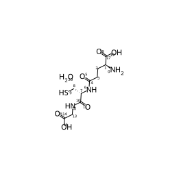 N[C@@H](CCC(=O)N[C@@H](CS)C(=O)NCC(=O)O)C(=O)O.O